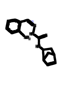 O=[N+]([O-])c1ccccc1/C=N\NC(=S)NC1CC2C=CC1C2